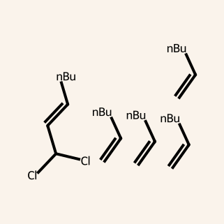 C=CCCCC.C=CCCCC.C=CCCCC.C=CCCCC.CCCCC=CC(Cl)Cl